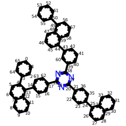 c1ccc(-c2ccc3ccccc3c2-c2ccc(-c3nc(-c4ccc(-c5cccc6ccccc56)cc4)nc(-c4cccc(-c5cccc6c(-c7ccccc7)cccc56)c4)n3)cc2)cc1